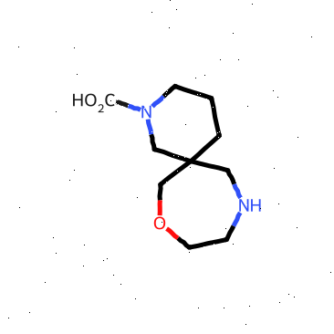 O=C(O)N1CCCC2(CNCCOC2)C1